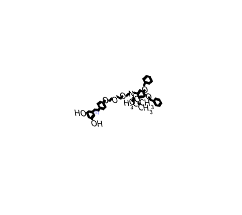 CC(C)(C)OC(=O)N(CCOCCOCCOc1ccc(/C=C/c2cc(O)cc(O)c2)cc1)Cc1ccc(OCc2ccccc2)c(OCc2ccccc2)c1